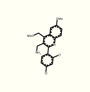 COCc1c(CN)c(-c2ccc(Cl)cc2Cl)nc2ccc(OC)cc12